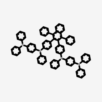 c1ccc(-c2c(-c3ccc(N(c4ccccc4)c4ccc(N(c5ccccc5)c5ccccc5)cc4)cc3)c(-c3ccc(N(c4ccccc4)c4ccc(N(c5ccccc5)c5ccccc5)cc4)cc3)c(-c3ccccc3)c3ccccc23)cc1